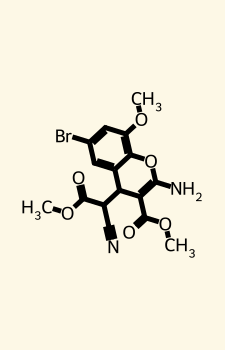 COC(=O)C1=C(N)Oc2c(OC)cc(Br)cc2C1C(C#N)C(=O)OC